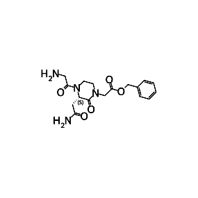 NCC(=O)N1CCN(CC(=O)OCc2ccccc2)C(=O)[C@@H]1CC(N)=O